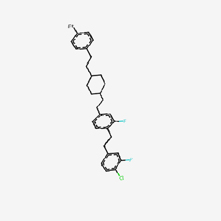 CCc1ccc(CCC2CCC(CCc3ccc(CCc4ccc(Cl)c(F)c4)c(F)c3)CC2)cc1